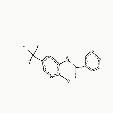 O=C(Nc1cc(C(F)(F)F)cnc1Cl)c1ccncc1